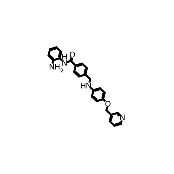 Nc1ccccc1NC(=O)c1ccc(CNc2ccc(OCc3cccnc3)cc2)cc1